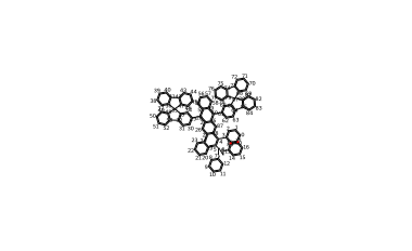 c1ccc(-c2c(N(c3ccccc3)c3ccccc3)c3ccccc3c3cc4c(-c5ccc6c(c5)C5(c7ccccc7-c7ccccc75)c5ccccc5-6)c5ccccc5c(-c5ccc6c(c5)C5(c7ccccc7-c7ccccc75)c5ccccc5-6)c4cc23)cc1